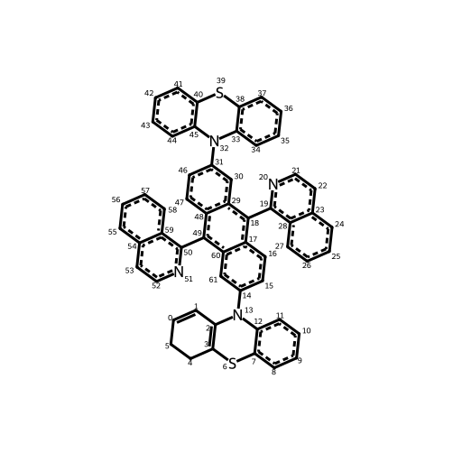 C1=CC2=C(CC1)Sc1ccccc1N2c1ccc2c(-c3nccc4ccccc34)c3cc(N4c5ccccc5Sc5ccccc54)ccc3c(-c3nccc4ccccc34)c2c1